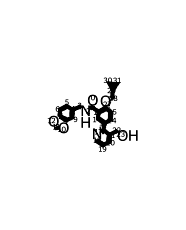 O=C(NCc1ccc2c(c1)OCO2)c1cc(-c2ncccc2CO)ccc1OCC1CC1